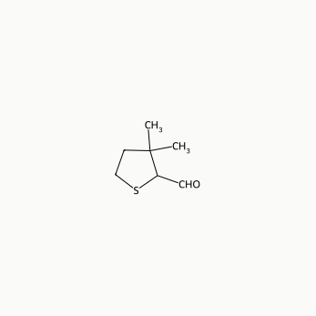 CC1(C)CCSC1C=O